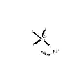 [I][Hg-2]([I])([I])[I].[Na+].[Na+]